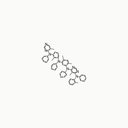 Cc1cc(C)c(N(c2ccccc2)c2ncnc(N(c3ccccc3)c3ccccc3C)c2C)cc1N(c1ccccc1)c1cccc(N(c2ccccc2)c2ncncc2C)c1C